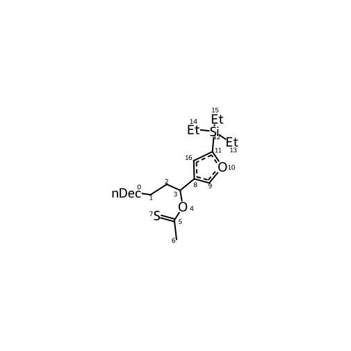 CCCCCCCCCCCCC(OC(C)=S)c1coc([Si](CC)(CC)CC)c1